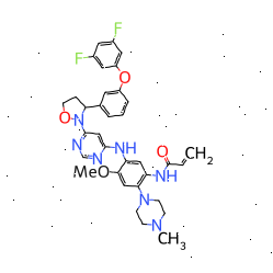 C=CC(=O)Nc1cc(Nc2cc(N3OCCC3c3cccc(Oc4cc(F)cc(F)c4)c3)ncn2)c(OC)cc1N1CCN(C)CC1